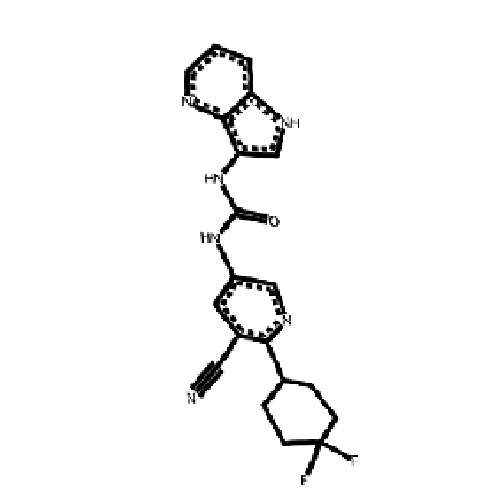 N#Cc1cc(NC(=O)Nc2c[nH]c3cccnc23)cnc1C1CCC(F)(F)CC1